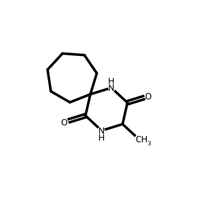 CC1NC(=O)C2(CCCCCC2)NC1=O